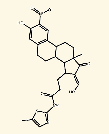 Cc1cnc(NC(=O)CCC2/C(=C\O)C(=O)C3(C)CCC4c5cc([N+](=O)[O-])c(O)cc5CCC4C23)s1